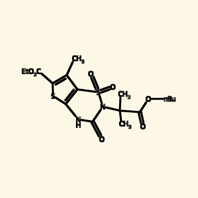 CCCCOC(=O)C(C)(C)N1C(=O)Nc2sc(C(=O)OCC)c(C)c2S1(=O)=O